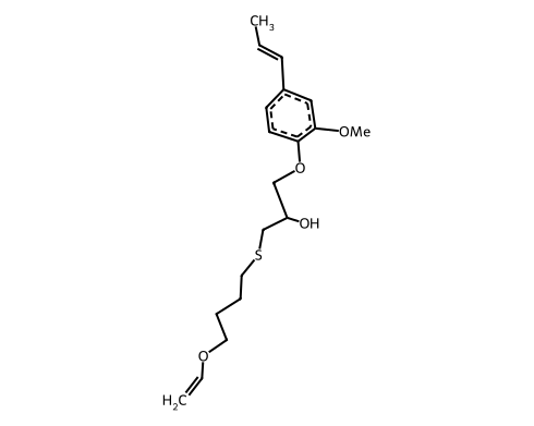 C=COCCCCSCC(O)COc1ccc(/C=C/C)cc1OC